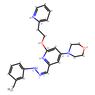 Cc1cccc(N/N=C\c2cc(N3CCOCC3)cc(OCCc3ccccn3)n2)c1